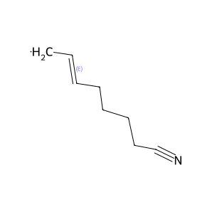 [CH2]/C=C/CCCCC#N